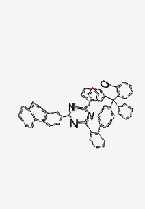 c1ccc(-c2nc(-c3ccc4c(ccc5ccccc54)c3)nc(-c3ccccc3-c3ccc(C4(c5ccccc5)c5ccccc5Oc5ccccc54)cc3)n2)cc1